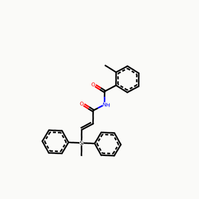 Cc1ccccc1C(=O)NC(=O)C=C[Si](C)(c1ccccc1)c1ccccc1